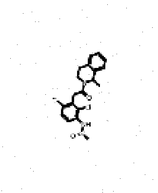 CC1c2ccccc2CCN1C(=O)Cc1c(Cl)ccc(N[S+](C)[O-])c1Cl